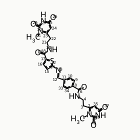 Cn1c(CCNC(=O)c2ccc(/C=N/c3ccc(C(=O)NCCc4cc(=O)[nH]c(=O)n4C)s3)cc2)cc(=O)[nH]c1=O